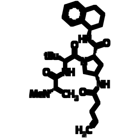 C=CCCC(=O)N[C@H]1C[C@@H](C(=O)N[C@@H]2CCCc3ccccc32)N(C(=O)[C@@H](NC(=O)[C@H](C)NC)C(C)(C)C)C1